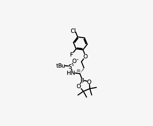 CC(C)(C)[S+]([O-])N[C@H](CCOc1ccc(Cl)cc1F)B1OC(C)(C)C(C)(C)O1